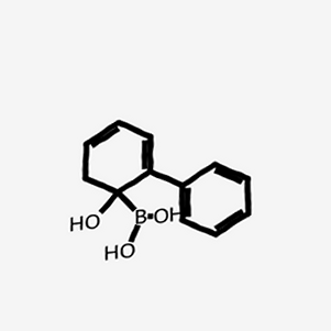 OB(O)C1(O)CC=CC=C1c1ccccc1